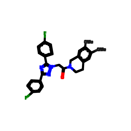 COc1cc2c(cc1OC)CN(C(=O)Cn1nc(-c3ccc(F)cc3)nc1-c1ccc(F)cc1)CC2